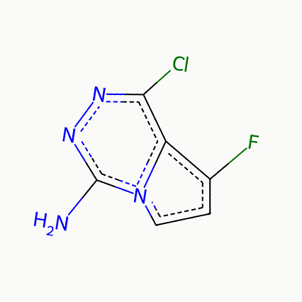 Nc1nnc(Cl)c2c(F)ccn12